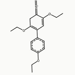 CCOC1=CC(c2ccc(OCC)cc2)=C(OCC)CC1=[N+]=[N-]